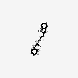 S=C(NNCCc1nc2ccccc2[nH]1)Nc1ccccc1Cl